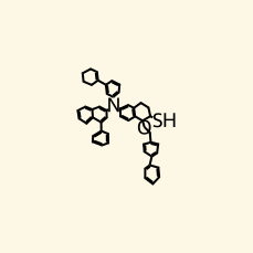 SC1CCc2cc(N(c3cccc(C4=CCCCC4)c3)c3cc(-c4ccccc4)c4ccccc4c3)ccc2C1OCc1ccc(-c2ccccc2)cc1